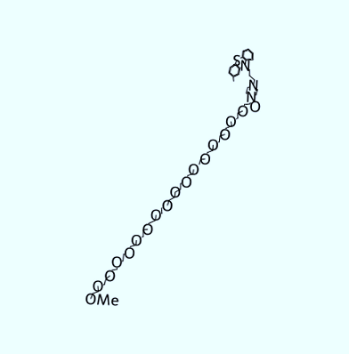 COCCOCCOCCOCCOCCOCCOCCOCCOCCOCCOCCOCCOCCOCCOCCOCCOCC(=O)N1CCN(CCCN2c3ccccc3Sc3ccc(C)cc32)CC1